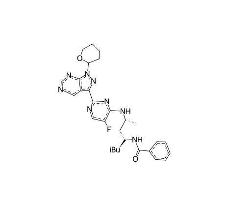 CC[C@H](C)[C@H](C[C@@H](C)Nc1nc(-c2nn(C3CCCCO3)c3ncncc23)ncc1F)NC(=O)c1ccccc1